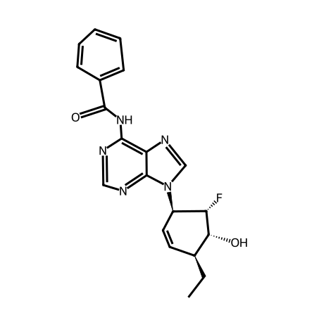 CC[C@H]1C=C[C@@H](n2cnc3c(NC(=O)c4ccccc4)ncnc32)[C@H](F)[C@@H]1O